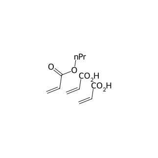 C=CC(=O)O.C=CC(=O)O.C=CC(=O)OCCC